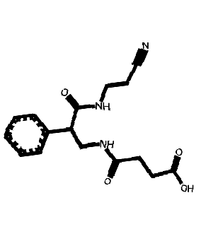 N#CCCNC(=O)C(CNC(=O)CCC(=O)O)c1ccccc1